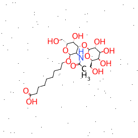 CC(=O)N[C@H]1[C@@H](OCCCCCCCCC(=O)O)O[C@H](CO)[C@H](O)[C@@H]1O[C@@H]1O[C@H](CO)[C@H](O)[C@H](O)[C@H]1O